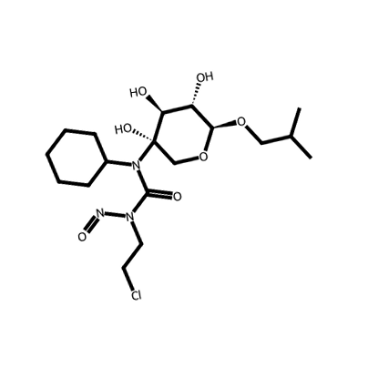 CC(C)CO[C@H]1OC[C@@](O)(N(C(=O)N(CCCl)N=O)C2CCCCC2)[C@@H](O)[C@@H]1O